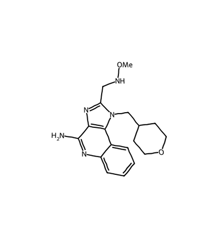 CONCc1nc2c(N)nc3ccccc3c2n1CC1CCOCC1